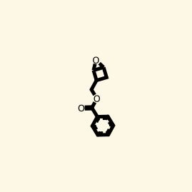 O=C(OCC1CC2OC12)c1ccccc1